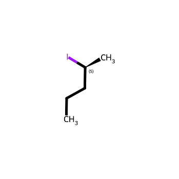 CCC[C@H](C)I